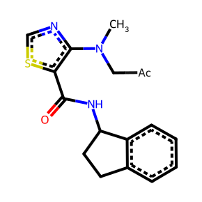 CC(=O)CN(C)c1ncsc1C(=O)NC1CCc2ccccc21